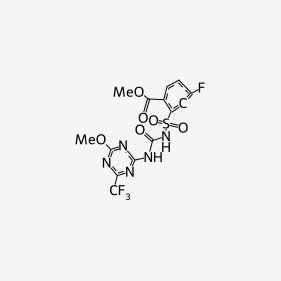 COC(=O)c1ccc(F)cc1S(=O)(=O)NC(=O)Nc1nc(OC)nc(C(F)(F)F)n1